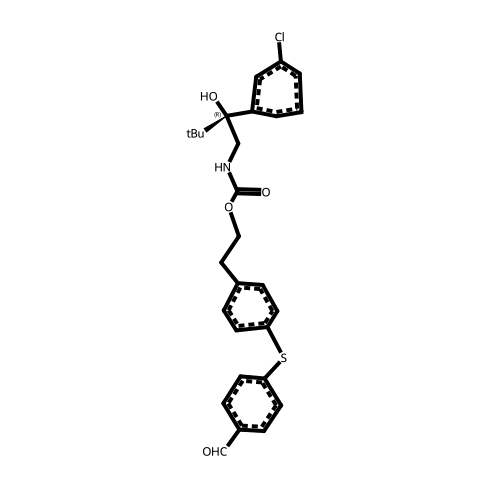 CC(C)(C)[C@](O)(CNC(=O)OCCc1ccc(Sc2ccc(C=O)cc2)cc1)c1cccc(Cl)c1